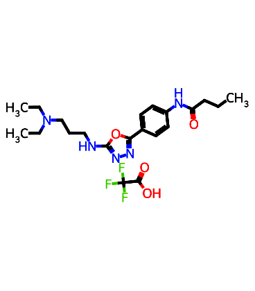 CCCC(=O)Nc1ccc(-c2nnc(NCCCN(CC)CC)o2)cc1.O=C(O)C(F)(F)F